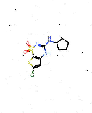 O=S1(=O)N=C(NC2CCCC2)Nc2cc(Cl)sc21